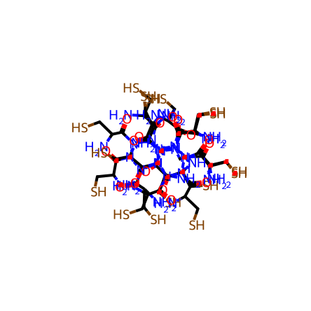 CN(C(=O)C(N)CS)N(C(=O)C(N)CS)N(C(=O)C(N)CS)N(C(=O)C(N)CS)N(C(=O)C(N)CS)N(C(=O)C(N)CS)N(C(=O)C(N)CS)N(C(=O)C(N)CS)N(C(=O)C(N)CS)N(C(=O)C(N)CS)N(C(=O)C(N)CS)N(C(=O)C(N)CS)N(C(=O)C(N)CS)N(C(=O)C(N)CS)N(NC(=O)C(N)CS)C(=O)C(N)CS